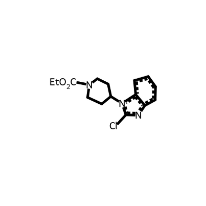 CCOC(=O)N1CCC(n2c(Cl)nc3ccccc32)CC1